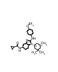 C[C@H]1C[C@@H](n2c(Nc3ccc(OC(F)(F)F)cc3)nc3cc(NC(=O)C4CC4)ccc32)CC(C)(C)C1